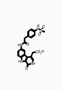 CS(=O)(=O)Nc1ccc(CC(=O)Nc2ccc3[nH]c4c(=O)[nH]cc(CC(=O)O)c4c3c2)cc1